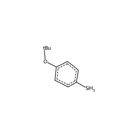 CC(C)(C)Oc1ccc([SiH3])cc1